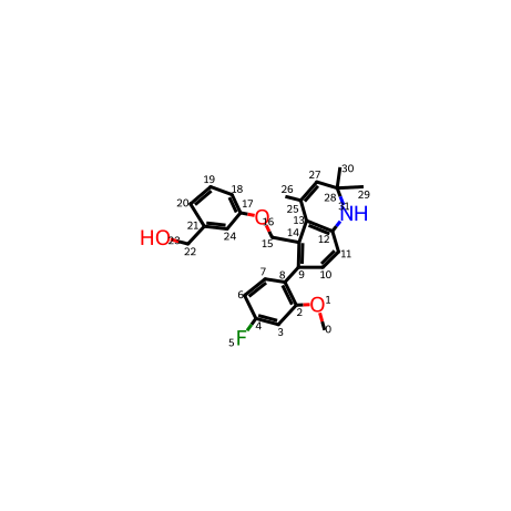 COc1cc(F)ccc1-c1ccc2c(c1COc1cccc(CO)c1)C(C)=CC(C)(C)N2